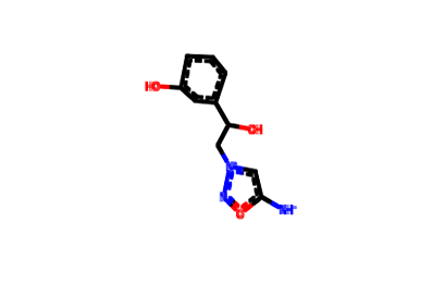 [NH-]c1c[n+](CC(O)c2cccc(O)c2)no1